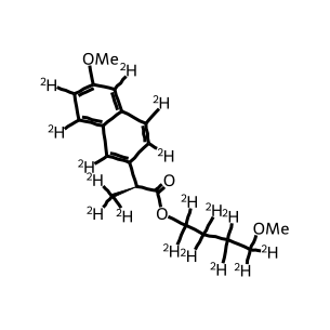 [2H]c1c([C@@H](C(=O)OC([2H])([2H])C([2H])([2H])C([2H])([2H])C([2H])([2H])OC)C([2H])([2H])[2H])c([2H])c2c([2H])c([2H])c(OC)c([2H])c2c1[2H]